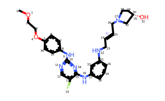 COCCOc1ccc(Nc2ncc(F)c(Nc3cccc(NC/C=C/CN4CC[C@H](O)C4)c3)n2)cc1